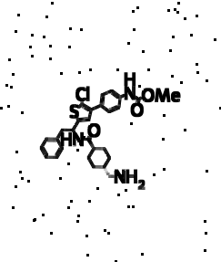 COC(=O)Nc1ccc(-c2cc(C(Cc3ccccc3)NC(=O)[C@H]3CC[C@H](CN)CC3)sc2Cl)cc1